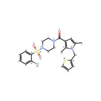 Cc1cc(C(=O)N2CCN(S(=O)(=O)c3ccccc3Cl)CC2)c(C)n1Cc1cccs1